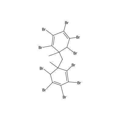 CC1(CC2(C)C(Br)=C(Br)C(Br)=C(Br)C2Br)C(Br)=C(Br)C(Br)=C(Br)C1Br